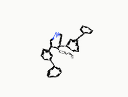 Cc1c(-c2cccc(-c3ccccc3)c2)cncc1-c1cccc(-c2ccccc2)c1